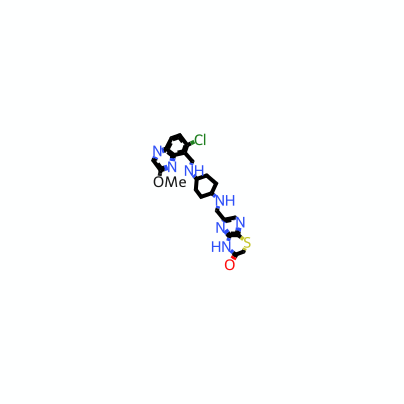 COc1cnc2ccc(Cl)c(CNC3CCC(NCc4cnc5c(n4)NC(=O)CS5)CC3)c2n1